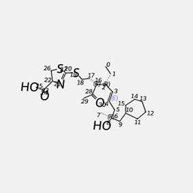 CC[C@H](/C=C/C[C@](C)(O)CC1CCCCC1)[C@@H](CCSC1=NC(C(=O)O)CS1)C(C)=O